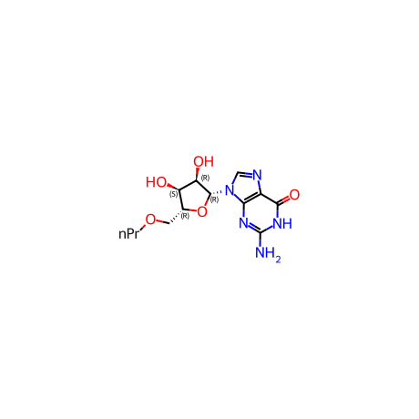 CCCOC[C@H]1O[C@@H](n2cnc3c(=O)[nH]c(N)nc32)[C@H](O)[C@@H]1O